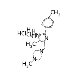 Cc1ccc(-c2nc(CN3CCN(C)CC3)c(C)[nH]2)cc1.Cl.Cl.Cl